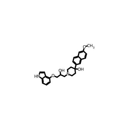 COc1ccc2cc(C3(O)CCN(CC(O)COc4cccc5[nH]ccc45)CC3)ccc2c1